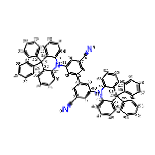 N#Cc1cc(-c2cc(C#N)cc(N3c4ccccc4C(c4ccccc4)(c4ccccc4)c4ccccc43)c2)cc(N2c3ccccc3C(c3ccccc3)(c3ccccc3)c3ccccc32)c1